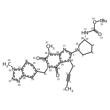 CC#CCn1c(N2CCC[C@@H](NC(=O)OC(C)(C)C)C2)nc2c1c(=O)n(Cc1ccc3c(c1)nnn3C)c(=O)n2C